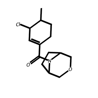 CC1CCC(C(=O)N2C3CCC2COC3)=CC1Cl